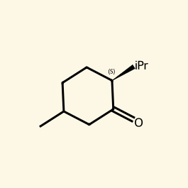 CC1CC[C@@H](C(C)C)C(=O)C1